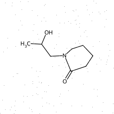 CC(O)CN1CCCCC1=O